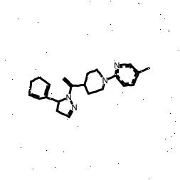 C=C(C1CCN(c2ccc(C)cn2)CC1)N1N=CCC1C1=CCCC=C1